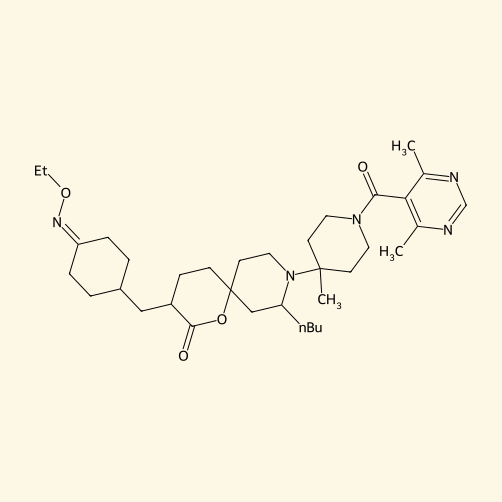 CCCCC1CC2(CCC(CC3CCC(=NOCC)CC3)C(=O)O2)CCN1C1(C)CCN(C(=O)c2c(C)ncnc2C)CC1